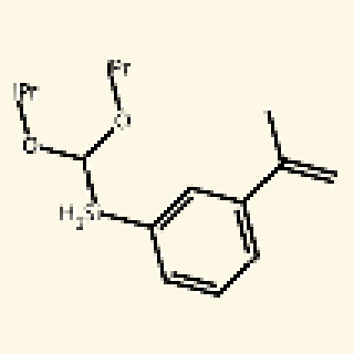 C=C(C)c1cccc([SiH2]C(OC(C)C)OC(C)C)c1